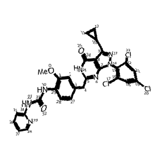 COc1cc(Cc2nc3c(c(C4CC4)nn3-c3c(Cl)cc(Cl)cc3Cl)c(=O)[nH]2)ccc1NC(=O)Nc1ccccn1